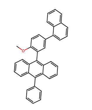 COc1ccc(-c2cccc3ccccc23)cc1-c1c2ccccc2c(-c2ccccc2)c2ccccc12